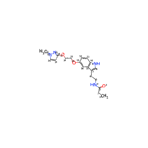 CCC(=O)NCCc1c[nH]c2ccc(OCCOc3ccn(C)n3)cc12